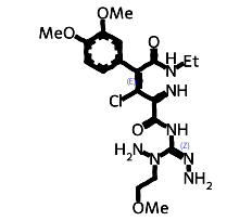 CCNC(=O)/C(=C(/Cl)C(=N)C(=O)N/C(=N/N)N(N)CCOC)c1ccc(OC)c(OC)c1